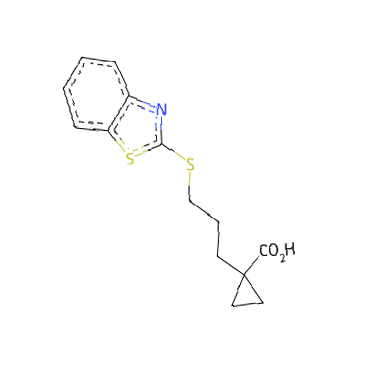 O=C(O)C1(CCCSc2nc3ccccc3s2)CC1